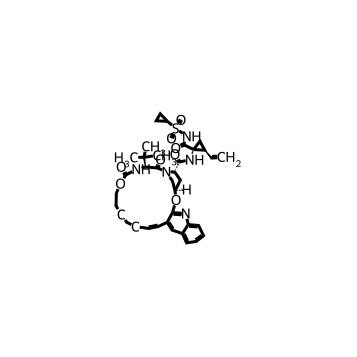 C=C[C@@H]1C[C@]1(NC(=O)[C@@H]1C[C@@H]2CN1C(=O)[C@H](C(C)(C)C)NC(=O)OCCCCCC=Cc1cc3ccccc3nc1O2)C(=O)NS(=O)(=O)C1CC1